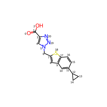 O=C(O)c1cn(Cc2cc3cc(C4CC4)ccc3s2)nn1